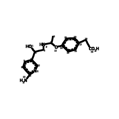 CC(NCC(O)c1ccc(N)nc1)Oc1ccc(CC(=O)O)cc1